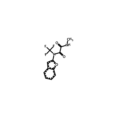 CNC(=O)C(=O)N(c1cc2ccccc2o1)C(F)(F)F